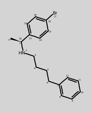 C[C@H](NCCCCc1ccccc1)c1ccc(Br)cc1